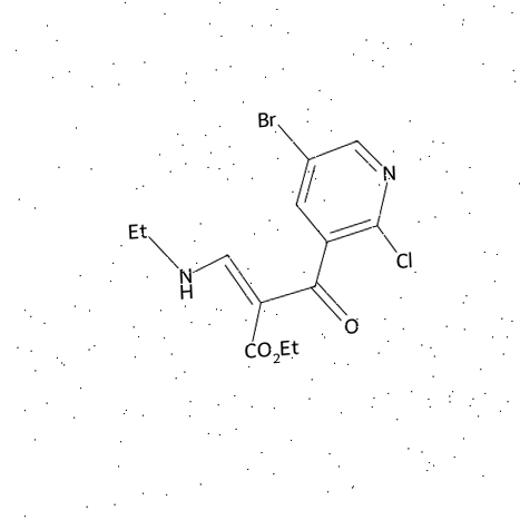 CCNC=C(C(=O)OCC)C(=O)c1cc(Br)cnc1Cl